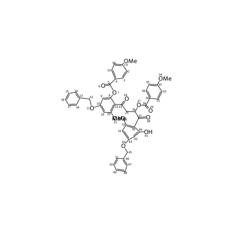 COc1ccc(C(=O)Oc2cc(OCc3ccccc3)cc(OC)c2C(=O)CC(OC(=O)c2ccc(OC)cc2)C(=O)c2c(O)cc(OCc3ccccc3)cc2OC)cc1